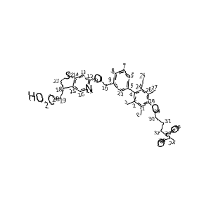 Cc1c(C)c(-c2cccc(COc3cc4c(cn3)C(CC(=O)O)CS4)c2)c(C)c(C)c1OCCCS(C)(=O)=O